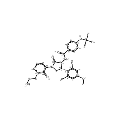 COc1cc(F)c([C@@H]2CN(c3ccnn(CCO)c3=O)C(=O)[C@H]2NC(=O)c2ccc(OC(F)(F)F)cc2)c(F)c1